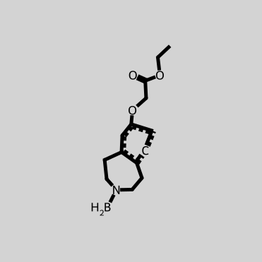 BN1CCc2ccc(OCC(=O)OCC)cc2CC1